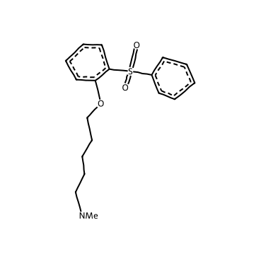 CNCCCCCOc1ccccc1S(=O)(=O)c1ccccc1